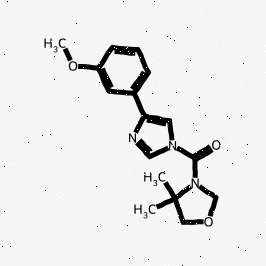 COc1cccc(-c2cn(C(=O)N3COCC3(C)C)cn2)c1